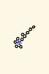 c1ccc(-c2ccccc2-c2nc(-c3ccc(-c4ccc(-c5ccc(-c6ccc7c(c6)sc6ccccc67)cc5)c5ccccc45)cc3)nc(-c3ccccc3-c3ccccc3)n2)cc1